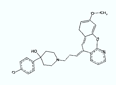 COC1=CCC2=CC(=CCCN3CCC(O)(c4ccc(Cl)cc4)CC3)c3cccnc3OC2=C1